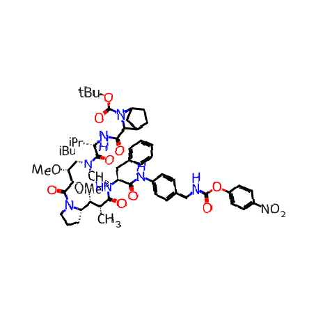 CC[C@H](C)[C@@H]([C@H](CC(=O)N1CCC[C@H]1[C@H](OC)[C@@H](C)C(=O)N[C@@H](Cc1ccccc1)C(=O)Nc1ccc(CNC(=O)Oc2ccc([N+](=O)[O-])cc2)cc1)OC)N(C)C(=O)[C@@H](NC(=O)C1C2CCC(C2)N1C(=O)OC(C)(C)C)C(C)C